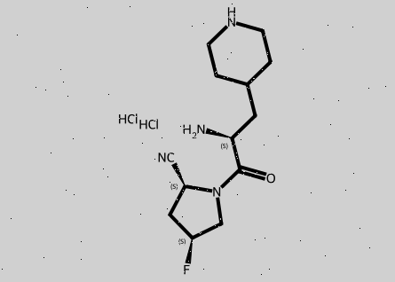 Cl.Cl.N#C[C@@H]1C[C@H](F)CN1C(=O)[C@@H](N)CC1CCNCC1